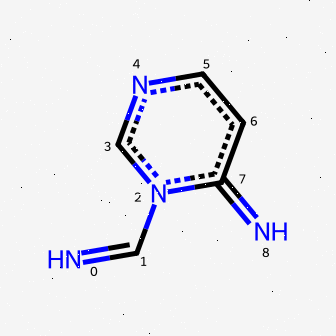 N=Cn1cnccc1=N